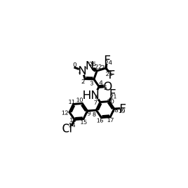 Cn1cc(C(=O)Nc2c(-c3cccc(Cl)c3)ccc(F)c2F)c(C(F)F)n1